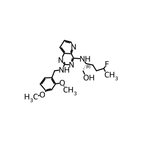 COc1ccc(CNc2nc(N[C@@H](CO)CCC(C)F)c3ncccc3n2)c(OC)c1